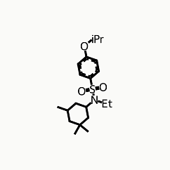 CCN(C1CC(C)CC(C)(C)C1)S(=O)(=O)c1ccc(OC(C)C)cc1